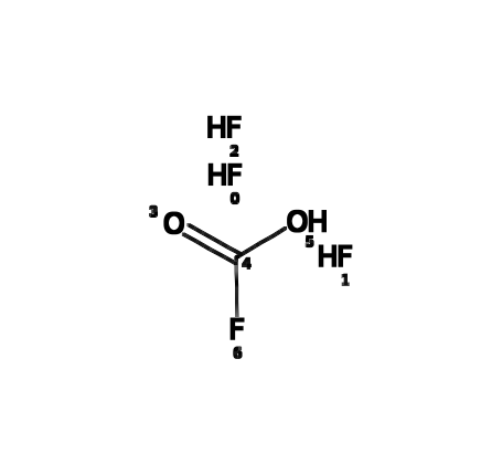 F.F.F.O=C(O)F